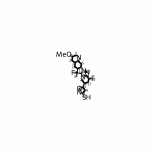 COc1cnc2ccc(C(C)(F)c3nnc4c(F)cc(-c5cc(S)no5)cn34)cc2c1